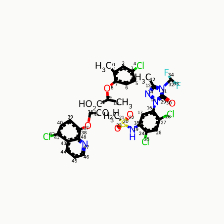 Cc1cc(Cl)ccc1OC(C)C(=O)O.Cc1nn(-c2cc(NS(C)(=O)=O)c(Cl)cc2Cl)c(=O)n1C(F)F.O=C(O)COc1ccc(Cl)c2cccnc12